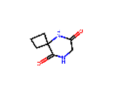 O=C1CNC(=O)C2(CCC2)N1